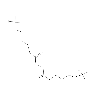 O=C(CCCCCC(Cl)(Cl)Cl)OOC(=O)CCCCCC(Cl)(Cl)Cl